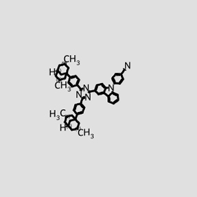 C[C@@H]1C[C@@H]2C[C@H](C)CC(c3ccc(-c4nc(-c5ccc(C67C[C@H](C)C[C@H](C[C@H](C)C6)C7)cc5)nc(-c5ccc6c(c5)c5ccccc5n6-c5ccc(C#N)cc5)n4)cc3)(C1)C2